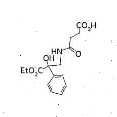 CCOC(=O)C(O)(CNC(=O)CCC(=O)O)c1ccccc1